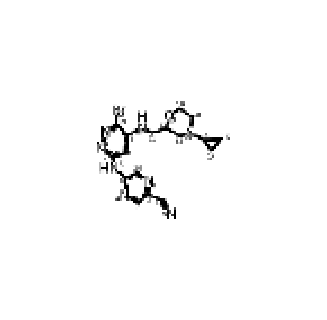 N#Cc1cnc(Nc2cc(NCC3CN(C4CC4)CCO3)c(Br)nn2)cn1